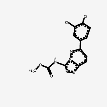 COC(=O)Nc1nnc2ccc(-c3ccc(Cl)c(Cl)c3)nn12